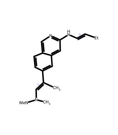 CC/C=C/Nc1cc2cc(/C(C)=C/N(C)NC)ccc2cn1